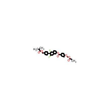 C=CC(=O)OCOc1ccc(C(=O)Oc2ccc3c(F)c(-c4ccc(COC(=O)C(=C)C)cc4)c(F)cc3c2)cc1